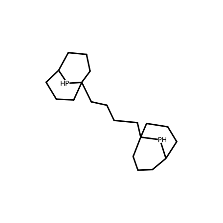 C(CCC12CCCC(CCC1)P2)CC12CCCC(CCC1)P2